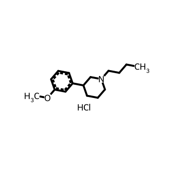 CCCCN1CCCC(c2cccc(OC)c2)C1.Cl